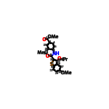 COC(=O)c1ccc(NC(=O)c2sc3ccc(OC)cc3c2OC(C)C)c(OC)c1